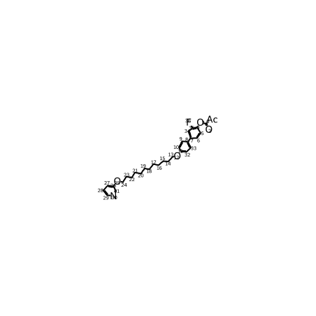 CC(=O)C(=O)Oc1ccc(-c2ccc(OCCCCCCCCCCCCOc3cccnc3)cc2)cc1F